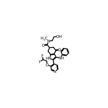 CN(CCO)C(=O)C1CC(=O)c2c([nH]c(-c3ccncc3OCC(F)F)c2Nc2ccccc2)C1